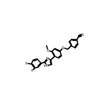 COc1cc(OCc2ccc(C#N)cc2)ccc1-c1c[nH]c(-c2ccc(F)c(F)c2)n1